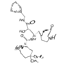 CC1(C)CCN[C@H](C(=O)N[C@@H](CC2CCNC2=O)C(O)C(=O)NCc2ccccc2)C1